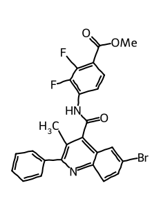 COC(=O)c1ccc(NC(=O)c2c(C)c(-c3ccccc3)nc3ccc(Br)cc23)c(F)c1F